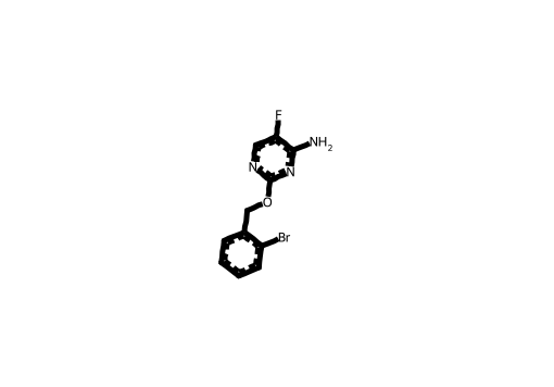 Nc1nc(OCc2ccccc2Br)ncc1F